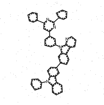 c1ccc(-c2cc(-c3cccc(-n4c5cc(-c6ccc7c(c6)c6ccccc6n7-c6ccccc6)ccc5c5cccnc54)c3)nc(-c3ccccc3)n2)cc1